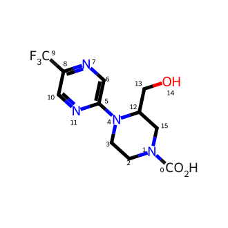 O=C(O)N1CCN(c2cnc(C(F)(F)F)cn2)C(CO)C1